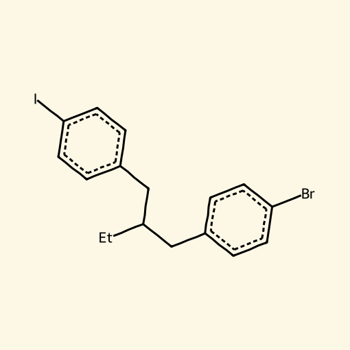 CCC(Cc1ccc(Br)cc1)Cc1ccc(I)cc1